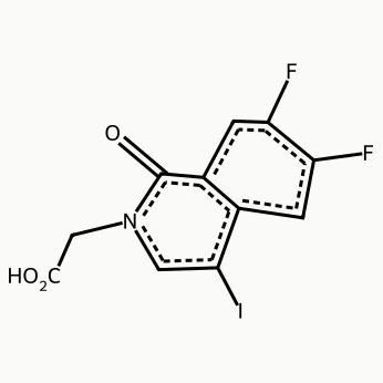 O=C(O)Cn1cc(I)c2cc(F)c(F)cc2c1=O